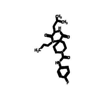 CCCN1C(=O)C(CC(C)C)NC(=O)C12CCN(C(=O)Nc1ccc(F)cc1)CC2